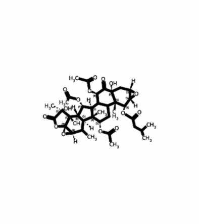 CC(=O)O[C@H]1[C@@H]2[C@H](C(C)[C@H]3O[C@]34OC(=O)[C@@](C)(O)[C@]24C)[C@@]2(C)[C@@H](OC(C)=O)CC3C([C@H]12)[C@@H](OC(C)=O)C(=O)[C@@]1(O)C[C@@H]2O[C@@H]2[C@H](OC(=O)CC(C)C)[C@]31C